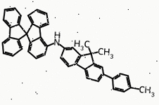 Cc1ccc(-c2ccc3c(c2)C(C)(C)c2cc(Nc4cccc5c4-c4ccccc4C54c5ccccc5-c5ccccc54)ccc2-3)cc1